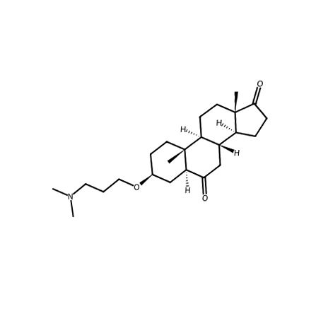 CN(C)CCCO[C@H]1CC[C@@]2(C)[C@H](C1)C(=O)C[C@@H]1[C@@H]2CC[C@]2(C)C(=O)CC[C@@H]12